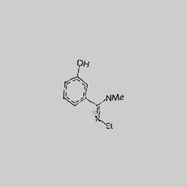 CC/N=C(\NC)c1cccc(O)c1